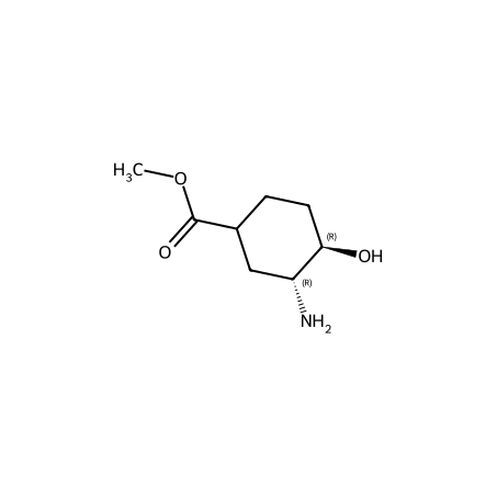 COC(=O)C1CC[C@@H](O)[C@H](N)C1